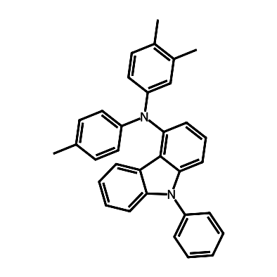 Cc1ccc(N(c2ccc(C)c(C)c2)c2cccc3c2c2ccccc2n3-c2ccccc2)cc1